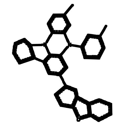 Cc1cccc(N2c3cc(C)ccc3B3c4ccccc4-c4cc(-c5ccc6oc7ccccc7c6c5)cc2c43)c1